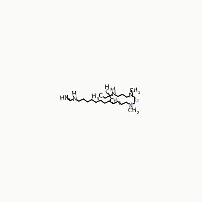 CCC(C)(C)NCCCN(C)/C=C\N(C)CCCCCCCCCCCCNC=N